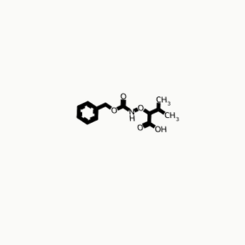 CC(C)C(ONC(=O)OCc1ccccc1)C(=O)O